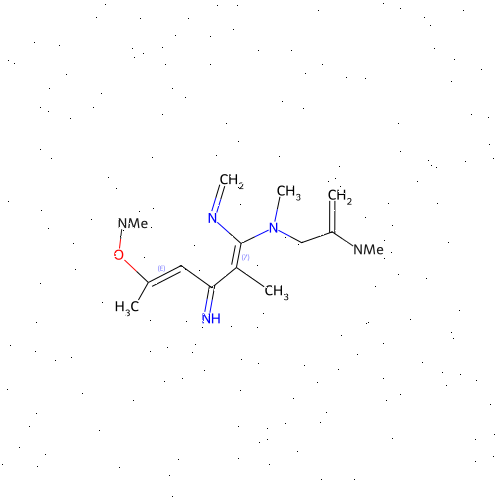 C=N/C(=C(/C)C(=N)/C=C(\C)ONC)N(C)CC(=C)NC